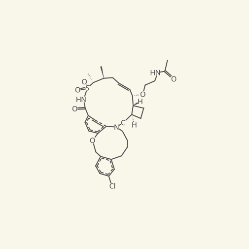 CC(=O)NCCO[C@H]1/C=C/C[C@H](C)[C@@H](C)S(=O)(=O)NC(=O)c2ccc3c(c2)N(CCCCc2cc(Cl)ccc2CO3)C[C@@H]2CC[C@H]21